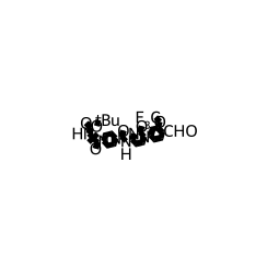 CC(C)(C)OC(=O)NC(C)(C)C(=O)N1CCN(C(=O)Nc2ccn(-c3ccc(C=O)c(OC(F)(F)F)c3)c(=O)n2)CC1